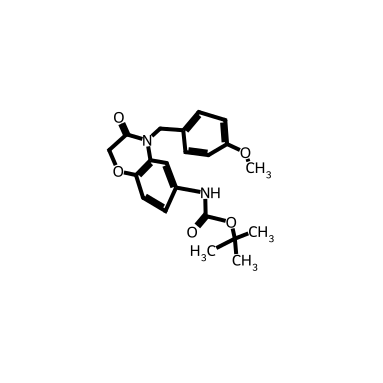 COc1ccc(CN2C(=O)COc3ccc(NC(=O)OC(C)(C)C)cc32)cc1